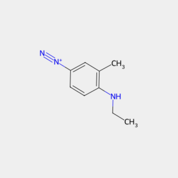 CCNc1ccc([N+]#N)cc1C